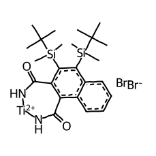 CC(C)(C)[Si](C)(C)c1c2c(c3ccccc3c1[Si](C)(C)C(C)(C)C)C(=O)[NH][Ti+2][NH]C2=O.[Br-].[Br-]